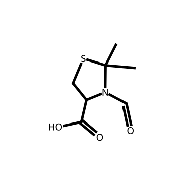 CC1(C)SCC(C(=O)O)N1C=O